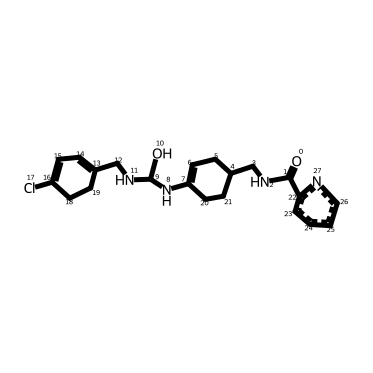 O=C(NCC1CC=C(NC(O)NCC2=CC=C(Cl)CC2)CC1)c1ccccn1